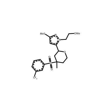 COCCn1nc(SC)cc1C1CC(C)(S(=O)(=O)c2cccc(C(F)(F)F)c2)CCO1